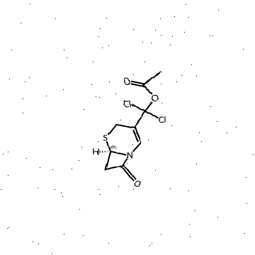 CC(=O)OC(Cl)(Cl)C1=CN2C(=O)C[C@H]2SC1